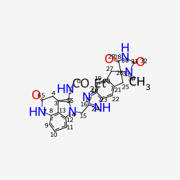 CCOC(=O)NCC12CC(=O)Nc3cccc(c31)N(Cc1nc3cc4c(cc3[nH]1)CC1(C4)C(=O)NC(=O)N1C)C2